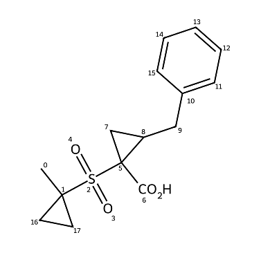 CC1(S(=O)(=O)C2(C(=O)O)CC2Cc2ccccc2)CC1